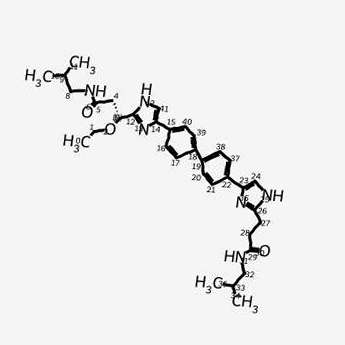 CCO[C@H](CC(=O)NCC(C)C)c1nc(-c2ccc(-c3ccc(-c4c[nH]c(CCC(=O)NCC(C)C)n4)cc3)cc2)c[nH]1